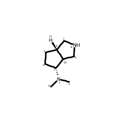 CN(C)[C@@H]1CC[C@@H]2CNCC21